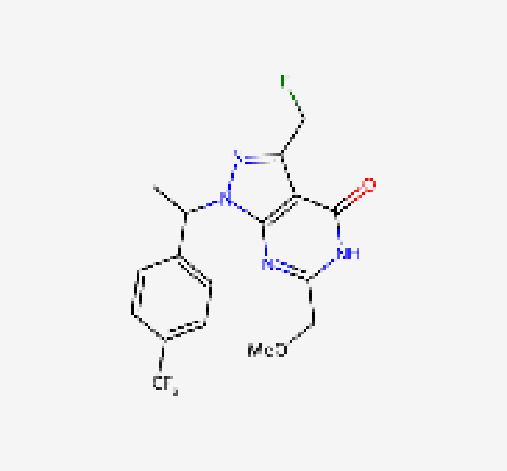 COCc1nc2c(c(CF)nn2C(C)c2ccc(C(F)(F)F)cc2)c(=O)[nH]1